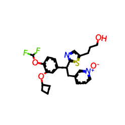 [O-][n+]1cccc(CC(c2ccc(OC(F)F)c(OC3CCC3)c2)c2ncc(CCCO)s2)c1